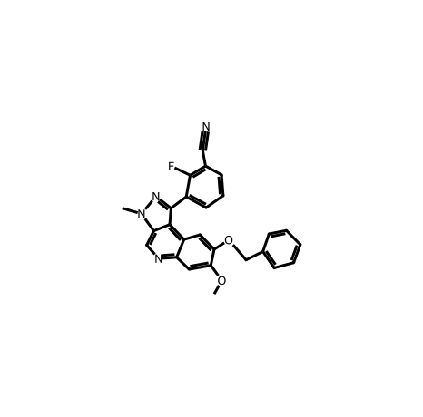 COc1cc2ncc3c(c(-c4cccc(C#N)c4F)nn3C)c2cc1OCc1ccccc1